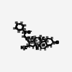 C[C@@H]1C[C@H]2[C@@H]3CCC4=CC(=O)CC[C@]4(C)C3=CC[C@]2(C)C1=C=C[S+]([O-])c1ccccc1